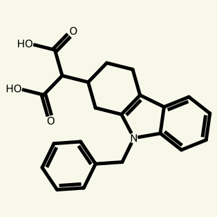 O=C(O)C(C(=O)O)C1CCc2c(n(Cc3ccccc3)c3ccccc23)C1